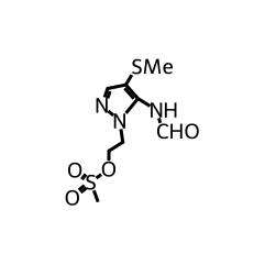 CSc1cnn(CCOS(C)(=O)=O)c1NC=O